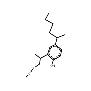 CCCCC(C)c1ccc(O)c(C(C)CCCC)c1